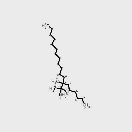 CCCCCCCCCCCCC(C)(CCCCCC)C(C)(C)N